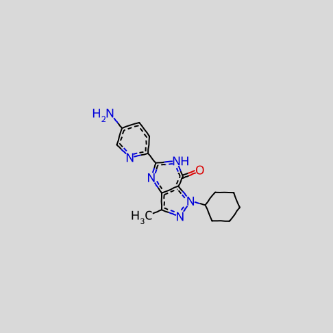 Cc1nn(C2CCCCC2)c2c(=O)[nH]c(-c3ccc(N)cn3)nc12